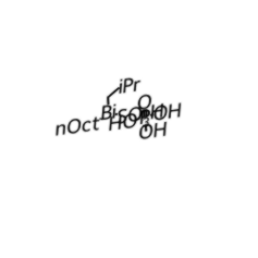 CCCCCCC[CH2][Bi]([CH2]C(C)C)[S](=O)(=O)O.O=P(O)(O)O